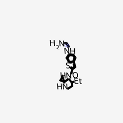 CCC1CCNC2(CC2)C1NC(=O)c1cc2ccc(N/C=C\N)cc2s1